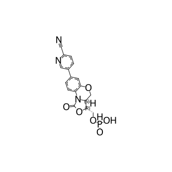 N#Cc1ccc(-c2ccc3c(c2)OC[C@H]2[C@H](CO[PH](=O)O)OC(=O)N32)cn1